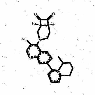 CC1CCCc2cccc(-c3ccc4c(N5CC[C@H]6C(=O)C(=O)[C@H]6C5)c(C#N)cnc4c3)c21